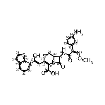 CO/N=C(\C(=O)NC1C(=O)N2C(C(=O)O)=C(/C=C(\C)[n+]3cccc4ccsc43)SCC12)c1csc(N)n1